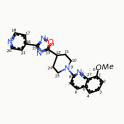 COc1cccc2ccc(N3CCC(c4nc(-c5ccncc5)no4)CC3)nc12